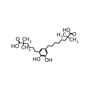 CC(C)(CCCCCCc1cc(O)c(O)c(CCCCC(C)(C)C(=O)O)c1)C(=O)O